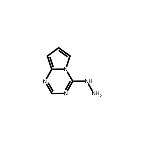 NNc1ncnc2cccn12